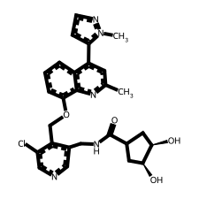 Cc1cc(-c2ccnn2C)c2cccc(OCc3c(Cl)cncc3CNC(=O)C3C[C@@H](O)[C@@H](O)C3)c2n1